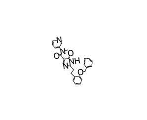 CN(C(=O)c1cnc(CCc2ccccc2OCc2ccccc2)[nH]c1=O)c1cccnc1